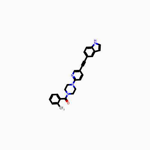 O=C(c1ccccc1C(F)(F)F)N1CCN(c2ccc(C#Cc3ccc4[nH]ccc4c3)cn2)CC1